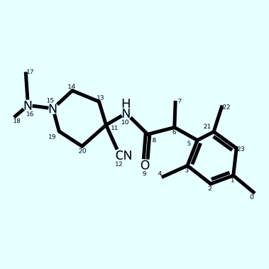 Cc1cc(C)c(C(C)C(=O)NC2(C#N)CCN(N(C)C)CC2)c(C)c1